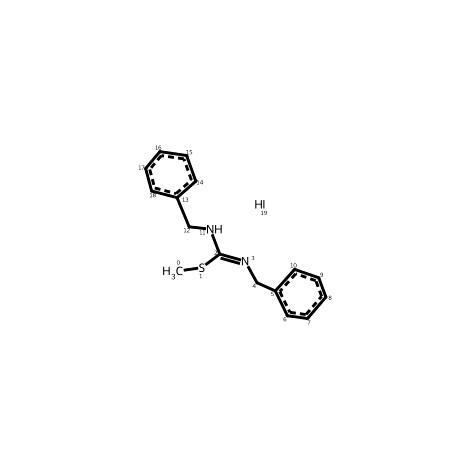 CS/C(=N\Cc1ccccc1)NCc1ccccc1.I